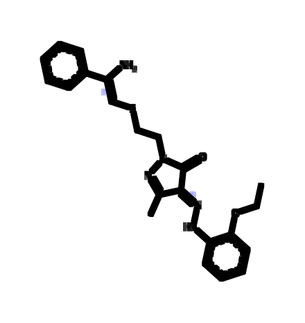 CCOc1ccccc1N/N=C1/C(=O)N(CCS/C=C(\N)c2ccccc2)N=C1C